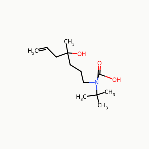 C=CCC(C)(O)CCCN(C(=O)O)C(C)(C)C